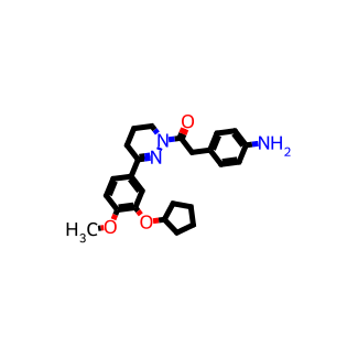 COc1ccc(C2=NN(C(=O)Cc3ccc(N)cc3)CCC2)cc1OC1CCCC1